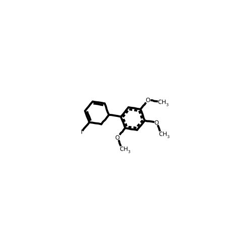 COc1cc(OC)c(C2C=CC=C(I)C2)cc1OC